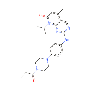 CCC(=O)N1CCN(c2ccc(Nc3ncc4c(C)cc(=O)n(C(C)C)c4n3)cc2)CC1